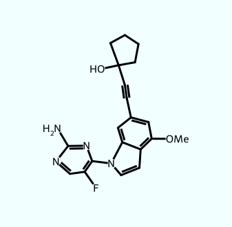 COc1cc(C#CC2(O)CCCC2)cc2c1ccn2-c1nc(N)ncc1F